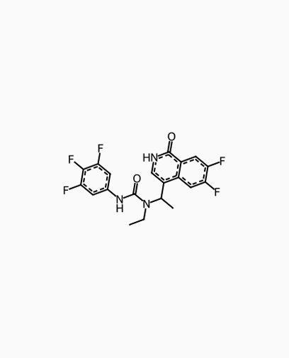 CCN(C(=O)Nc1cc(F)c(F)c(F)c1)C(C)c1c[nH]c(=O)c2cc(F)c(F)cc12